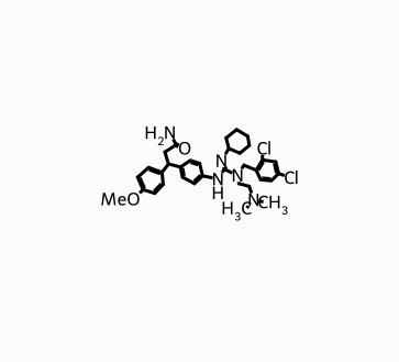 COc1ccc(C(CC(N)=O)c2ccc(N/C(=N/C3CCCCC3)N(CCN(C)C)Cc3ccc(Cl)cc3Cl)cc2)cc1